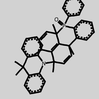 CC1C=CC2(C)C3=C1C(C)(N1c4ccccc4C(C)(C)c4ccccc41)C=CC3(C)c1ccccc1P2(=O)c1ccccc1